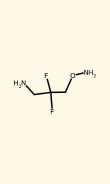 NCC(F)(F)CON